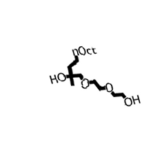 CCCCCCCCCCC(C)(O)COCCOCCO